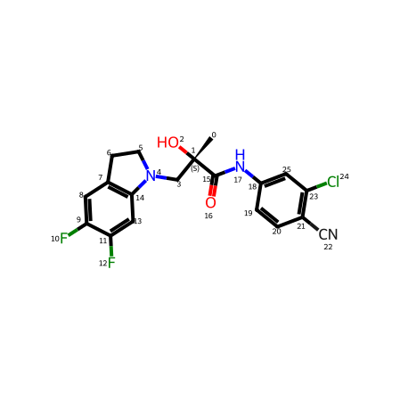 C[C@](O)(CN1CCc2cc(F)c(F)cc21)C(=O)Nc1ccc(C#N)c(Cl)c1